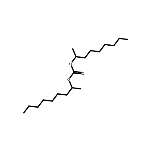 CCCCCCCC(C)OC(=O)OC(C)CCCCCCC